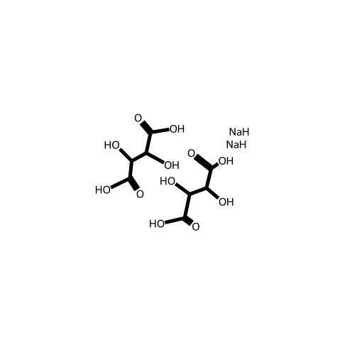 O=C(O)C(O)C(O)C(=O)O.O=C(O)C(O)C(O)C(=O)O.[NaH].[NaH]